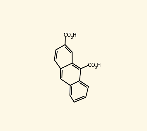 O=C(O)c1ccc2cc3ccccc3c(C(=O)O)c2c1